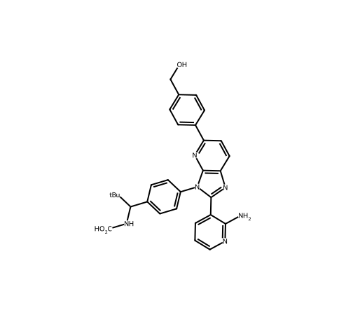 CC(C)(C)C(NC(=O)O)c1ccc(-n2c(-c3cccnc3N)nc3ccc(-c4ccc(CO)cc4)nc32)cc1